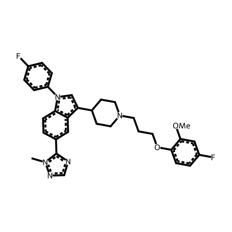 COc1cc(F)ccc1OCCCN1CCC(c2cn(-c3ccc(F)cc3)c3ccc(-c4ncnn4C)cc23)CC1